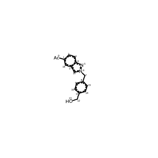 CC(=O)c1ccc2nn(Cc3ccc(CO)cc3)cc2c1